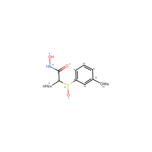 CCCCCCC(C(=O)NO)[S+]([O-])c1cccc(OC)c1